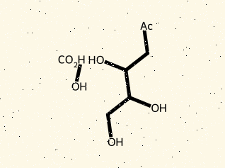 CC(=O)CC(O)C(O)CO.O=C(O)O